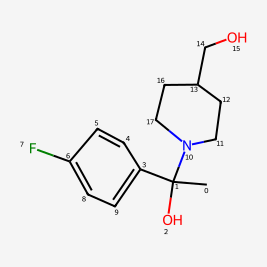 CC(O)(c1ccc(F)cc1)N1CCC(CO)CC1